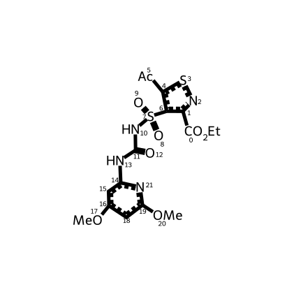 CCOC(=O)c1nsc(C(C)=O)c1S(=O)(=O)NC(=O)Nc1cc(OC)cc(OC)n1